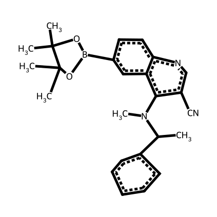 CC(c1ccccc1)N(C)c1c(C#N)cnc2ccc(B3OC(C)(C)C(C)(C)O3)cc12